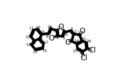 O=C1C(=Cc2cc3oc(-c4cccc5ccccc45)cc3o2)C(=O)c2cc(Cl)c(Cl)cc21